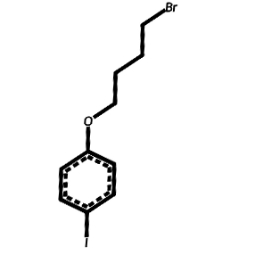 BrCCCCOc1ccc(I)cc1